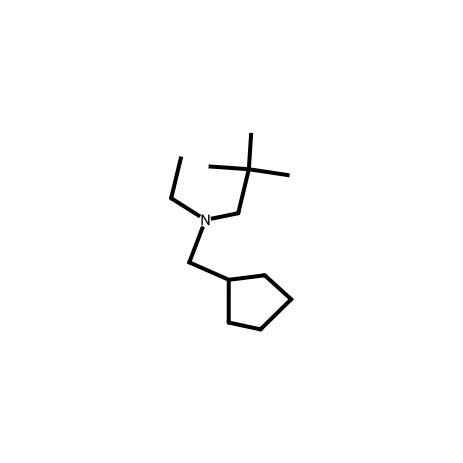 CCN(CC1CCCC1)CC(C)(C)C